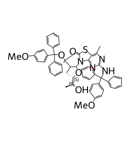 COc1ccc(C(Nc2nc(C)c3sc(=O)n(C4O[C@H]([C@H](C)O)CC4C(C)(C)OC(c4ccccc4)(c4ccccc4)c4ccc(OC)cc4)c3n2)(c2ccccc2)c2ccccc2)cc1